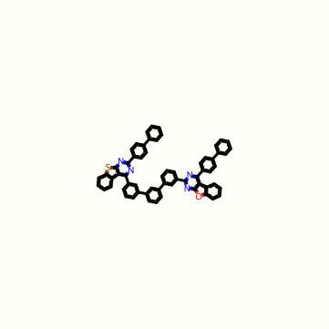 c1ccc(-c2ccc(-c3nc(-c4cccc(-c5cccc(-c6cccc(-c7nc(-c8ccc(-c9ccccc9)cc8)c8c(n7)oc7ccccc78)c6)c5)c4)c4c(n3)sc3ccccc34)cc2)cc1